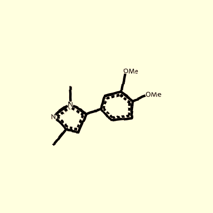 COc1ccc(-c2cc(C)nn2C)cc1OC